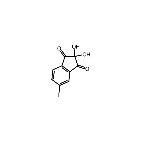 O=C1c2ccc(I)cc2C(=O)C1(O)O